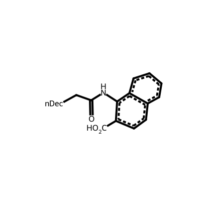 CCCCCCCCCCCC(=O)Nc1c(C(=O)O)ccc2ccccc12